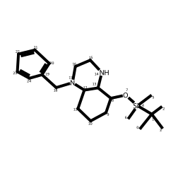 CC(C)(C)[Si](C)(C)OC1CCCC2C1NCCN2Cc1ccccc1